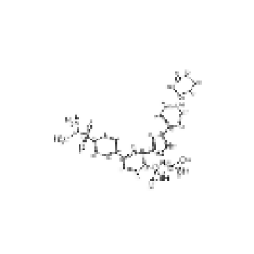 CC(C)S(=O)(=O)c1ccc(-c2cnc(C3(/N=C4\BO4)BO3)c(-c3cc(-c4ccc([C@H]5CCCOC5)cc4)no3)n2)cc1